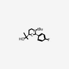 CC(C)(O)[C@H]1CCN(C(C)(C)C)[C@@H](c2ccc(F)cc2)C1